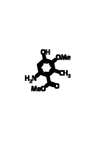 COC(=O)c1c(N)cc(O)c(OC)c1C